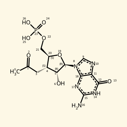 CC(=O)C[C@H]1[C@@H](O)[C@H](n2cnc3c(=O)[nH]c(N)nc32)O[C@@H]1COP(=O)(O)O